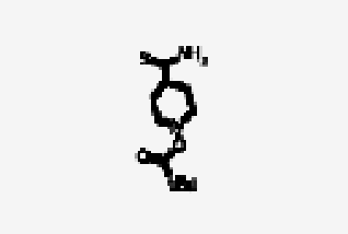 CC(C)(C)C(=O)ON1CCC(C(N)=S)CC1